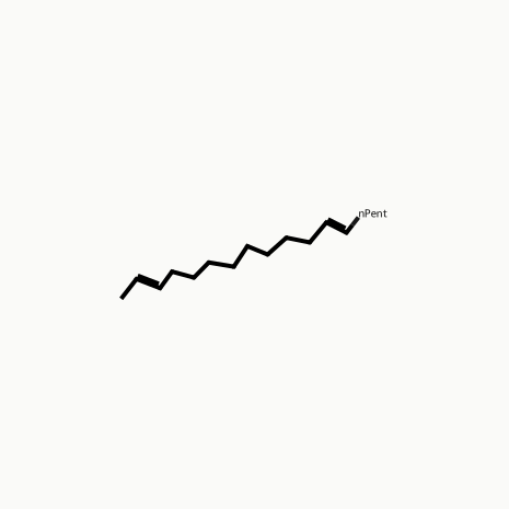 [CH2]CCCCC=CCCCCCCCCC=CC